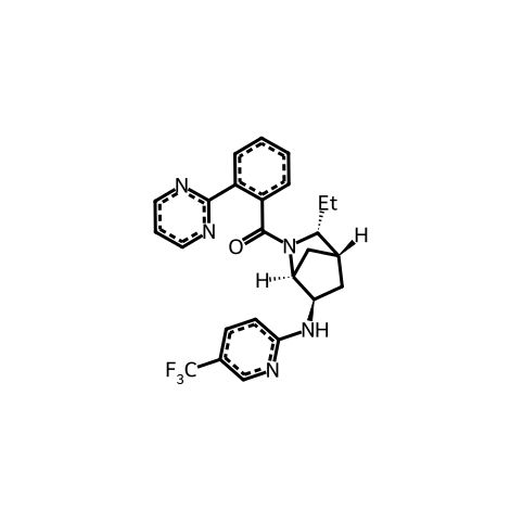 CC[C@@H]1[C@@H]2C[C@@H](Nc3ccc(C(F)(F)F)cn3)[C@H](C2)N1C(=O)c1ccccc1-c1ncccn1